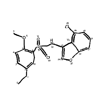 CCc1ccc(OC)c(S(=O)(=O)Nc2noc3cccc(Cl)c23)c1